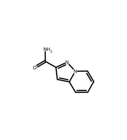 NC(=O)c1cc2ccccn2n1